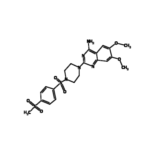 COc1cc2nc(N3CCN(S(=O)(=O)c4ccc(S(C)(=O)=O)cc4)CC3)nc(N)c2cc1OC